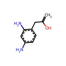 C=C(O)Cc1ccc(N)cc1N